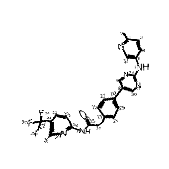 Cc1ccc(Nc2ncc(-c3ccc(CC(=O)Nc4ccc(C(F)(F)F)cn4)cc3)cn2)cn1